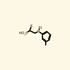 CCN(C[CH]([K])S(=O)(=O)O)c1cccc(C)c1